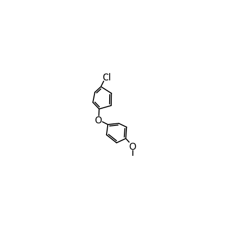 COc1ccc(Oc2ccc(Cl)cc2)cc1